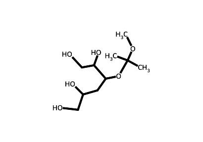 COC(C)(C)OC(CC(O)CO)C(O)CO